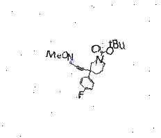 CO/N=C/C#CC1(c2ccc(F)cc2)CCCN(C(=O)OC(C)(C)C)C1